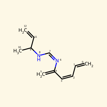 C=C/C=C\C(=C)/N=C\NC(C)C=C